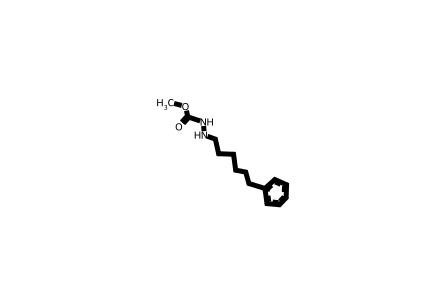 COC(=O)NNCCCCCCc1ccccc1